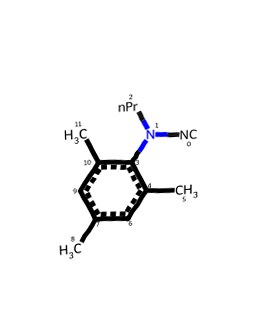 [C-]#[N+]N(CCC)c1c(C)cc(C)cc1C